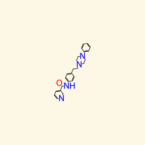 O=C(Nc1ccc(CCN2CCN(c3ccccc3)CC2)cc1)c1cccnc1